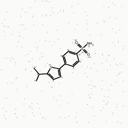 CC(C)c1ccc(-c2ccc(S(N)(=O)=O)cc2)s1